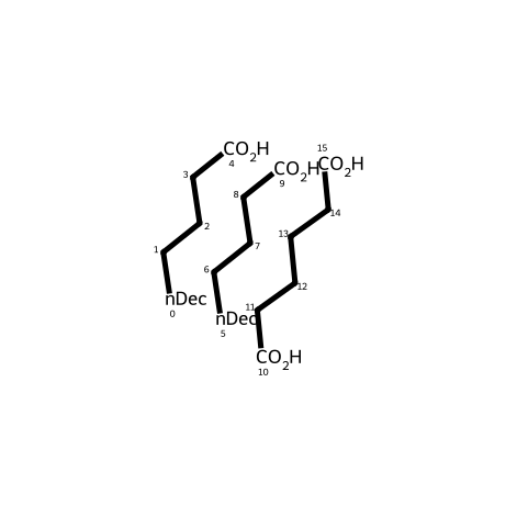 CCCCCCCCCCCCCC(=O)O.CCCCCCCCCCCCCC(=O)O.O=C(O)CCCCC(=O)O